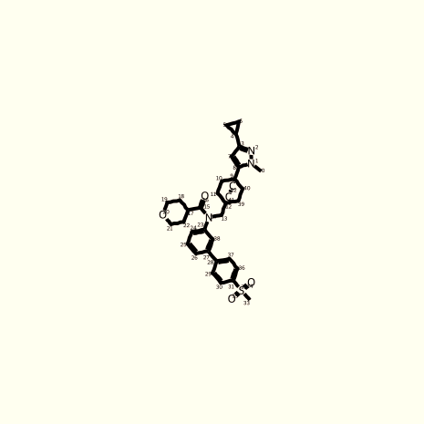 Cn1nc(C2CC2)cc1C12CCC(CN(C(=O)C3CCOCC3)c3cccc(-c4ccc(S(C)(=O)=O)cc4)c3)(CC1)CC2